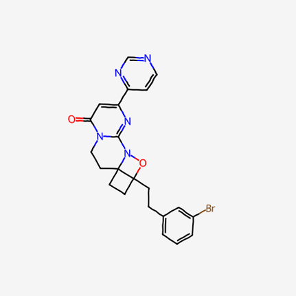 O=c1cc(-c2ccncn2)nc2n1CCC13CCC1(CCc1cccc(Br)c1)ON23